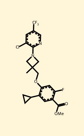 COC(=O)c1cc(C2CC2)c(OCC2(C)CN(c3ncc(C(F)(F)F)cc3Cl)C2)cc1F